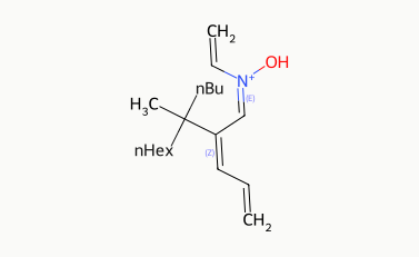 C=C/C=C(\C=[N+](\O)C=C)C(C)(CCCC)CCCCCC